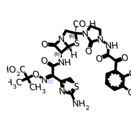 CC(C)(O/N=C(\C(=O)N[C@@H]1C(=O)N2C[C@@](C(=O)O)(N3CCN(NC(=O)C(=O)c4cccc(O)c4O)C3=O)S[C@H]12)c1csc(N)n1)C(=O)O